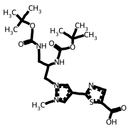 C[n+]1cc(-c2ncc(C(=O)O)s2)cn1CC(CNC(=O)OC(C)(C)C)NC(=O)OC(C)(C)C